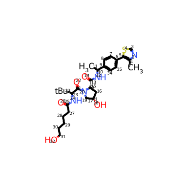 Cc1ncsc1-c1ccc(C(C)NC(=O)[C@@H]2C[C@@H](O)CN2C(=O)C(NC(=O)CCCCCO)C(C)(C)C)cc1